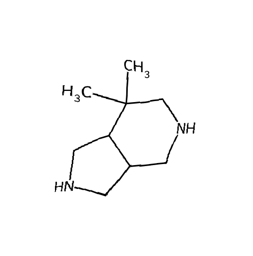 CC1(C)CNCC2CNCC21